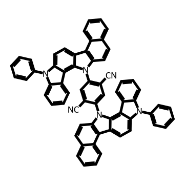 N#Cc1cc(-n2c3ccc4ccccc4c3c3ccc4c(c5ccccc5n4-c4ccccc4)c32)c(C#N)cc1-n1c2ccc3ccccc3c2c2ccc3c(c4ccccc4n3-c3ccccc3)c21